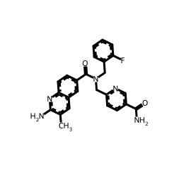 Cc1cc2cc(C(=O)N(Cc3ccc(C(N)=O)cn3)Cc3ccccc3F)ccc2nc1N